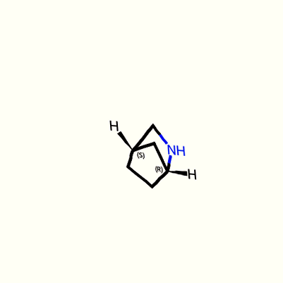 C1C[C@@H]2C[C@H]1CN2